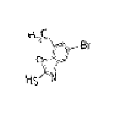 Cc1cc(Br)cc2nc(S)oc12